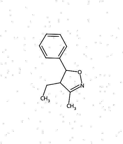 CCC1C(C)=NOC1c1ccccc1